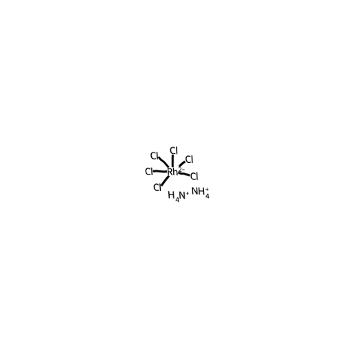 [Cl][Rh-2]([Cl])([Cl])([Cl])([Cl])[Cl].[NH4+].[NH4+]